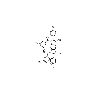 C[Si](C)(C)c1ccc(C2=C(C#N)c3cc4c(cc3/C2=C(\C#N)c2cc(C#N)cc(C#N)c2)C(C(C#N)c2cc(C#N)cc(C#N)c2)C(c2ccc([Si](C)(C)C)cc2)=C4C#N)cc1